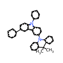 CC1(C)c2ccccc2N(c2ccc3c(c2)c2cc(-c4ccccc4)ccc2n3-c2ccccc2)c2ccccc21